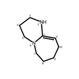 C1=C2NCCCN2CCCC1